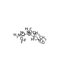 CC(C)n1nc(-c2cnc(N)c(OC(F)F)c2)cc1[C@H]1[C@@H]2C[C@@H](N3CCOC[C@H]3C)C[C@@H]21